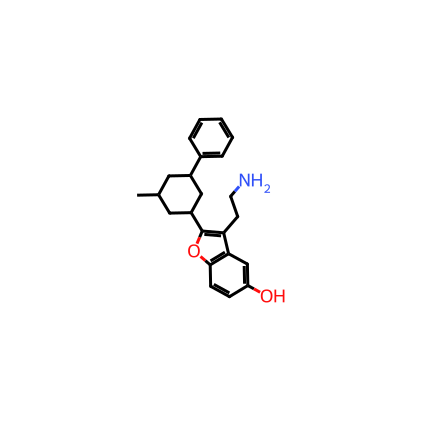 CC1CC(c2ccccc2)CC(c2oc3ccc(O)cc3c2CCN)C1